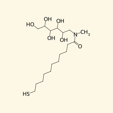 CN(CC(O)C(O)C(O)C(O)CO)C(=O)CCCCCCCCCCS